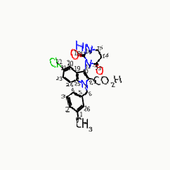 Cc1cccc(Cn2c(C(=O)O)c(N3C(=O)CCNC3=O)c3cc(Cl)ccc32)c1